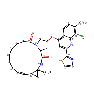 COc1ccc2c(OC3CC4C(=O)NC5(C(=O)O)CC5/C=C\CCCCCCC(=O)N4C3)cc(-c3nccs3)nc2c1Br